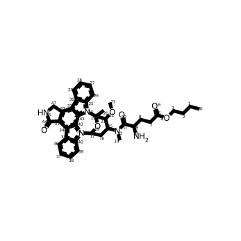 CCCCOC(=O)CCC(N)C(=O)N(C)C1CC2OC(C)(C1OC)n1c3ccccc3c3c4c(c5c6ccccc6n2c5c31)C(=O)NC4